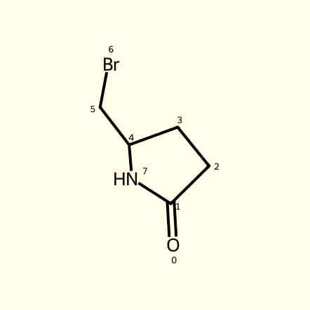 O=C1CCC(CBr)N1